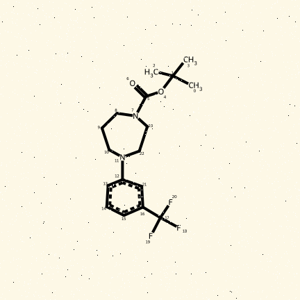 CC(C)(C)OC(=O)N1CCCN(c2cccc(C(F)(F)F)c2)CC1